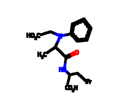 CC(C)CC(NC(=O)C(C)N(CC(=O)O)c1ccccc1)C(=O)O